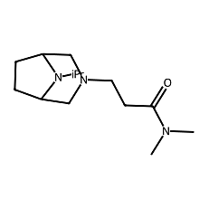 CC(C)N1C2CCC1CN(CCC(=O)N(C)C)C2